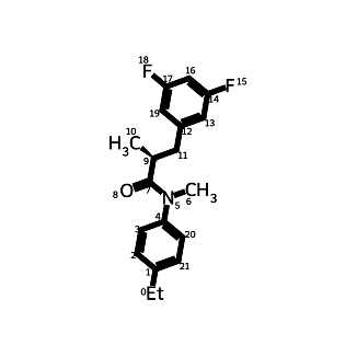 CCc1ccc(N(C)C(=O)[C@@H](C)Cc2cc(F)cc(F)c2)cc1